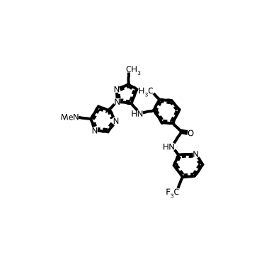 CNc1cc(-n2nc(C)cc2Nc2cc(C(=O)Nc3cc(C(F)(F)F)ccn3)ccc2C)ncn1